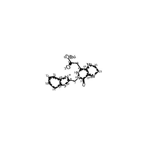 CC(C)COC(=O)Cc1nn(Cc2nc3ccccc3s2)c(=O)c2nccnc12